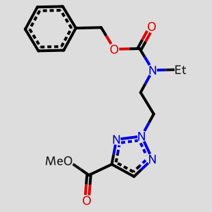 CCN(CCn1ncc(C(=O)OC)n1)C(=O)OCc1ccccc1